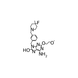 COCCOc1nc(N)c2nc(O)n(Cc3cccc(CN4CCC(C)(F)CC4)c3)c2n1